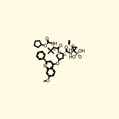 C=C[C@@H]1C[C@]1(NC(=O)[C@@H]1C[C@@H](Oc2cc(-c3ccccc3)nc3cc(OC)ccc23)CN1C(=O)[C@@H](NC(=O)OC1CCCC1)C(C)(C)C)P(=O)(O)O